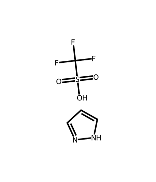 O=S(=O)(O)C(F)(F)F.c1cn[nH]c1